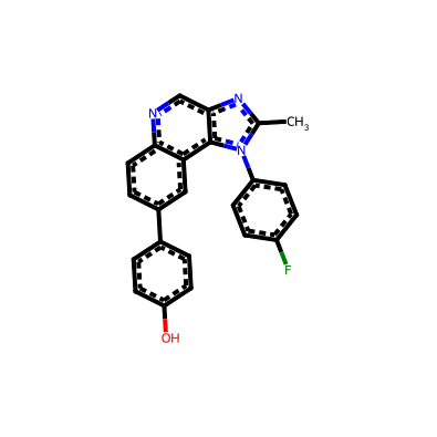 Cc1nc2cnc3ccc(-c4ccc(O)cc4)cc3c2n1-c1ccc(F)cc1